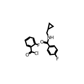 O=C(Cl)c1ccccc1F.O=C(NCC1CC1)c1ccc(F)cc1